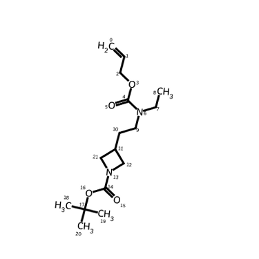 C=CCOC(=O)N(CC)CCC1CN(C(=O)OC(C)(C)C)C1